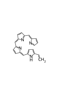 C=Cc1ccc(C=C2C=CC(C=C3C=CC(C=C4C=CC=N4)=N3)=N2)[nH]1